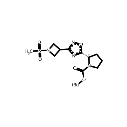 CC(C)(C)OC(=O)N1CCC[C@H]1c1nc(C2CN(S(C)(=O)=O)C2)no1